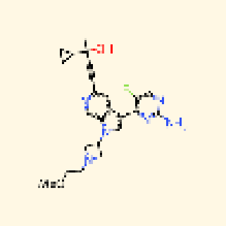 COCCN1CC(n2cc(-c3nc(N)ncc3F)c3cc(C#CC(C)(O)C4CC4)ncc32)C1